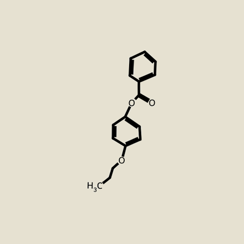 CCCOc1ccc(OC(=O)c2ccccc2)cc1